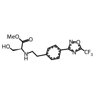 COC(=O)[C@H](CO)NCCc1ccc(-c2noc(C(F)(F)F)n2)cc1